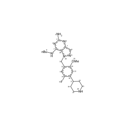 CCCCNc1nc(N)nc2cnn(Cc3cc(F)c(C4CCNCC4)cc3OC)c12